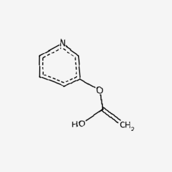 C=C(O)Oc1cccnc1